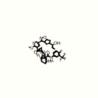 CCC(O)C1CC2ON=C(c3cnc(OC)c(C(=O)N[C@H]4[C@@H](C(=O)Nc5ccc(F)c(C(F)(F)F)c5)[C@H]5CC[C@@H]4/C5=C\C4CC4)c3)C2C1